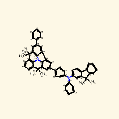 CC1(C)c2ccccc2-c2ccc(N(c3ccccc3)c3ccc(-c4cc5c6c(c4)c4cc(-c7ccccc7)cc7c4n6-c4c(cccc4C5(C)C)C7(C)C)cc3)cc21